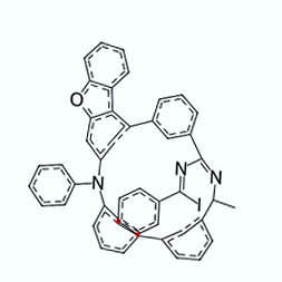 CC1/N=C(\N=C(/I)c2ccccc2)c2cccc(c2)-c2cc(cc3oc4ccccc4c23)N(c2ccccc2)c2cccc(c2)-c2cccc1c2